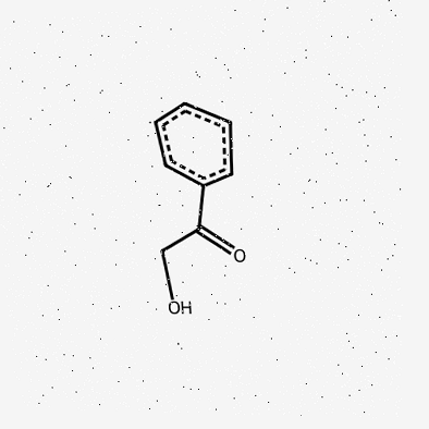 O=C(CO)c1c[c]ccc1